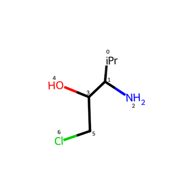 CC(C)C(N)C(O)CCl